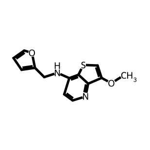 COc1csc2c(NCc3ccco3)ccnc12